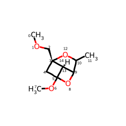 COC[C@@]12CC3(OC)OC(C(C)O1)[C@@H]32